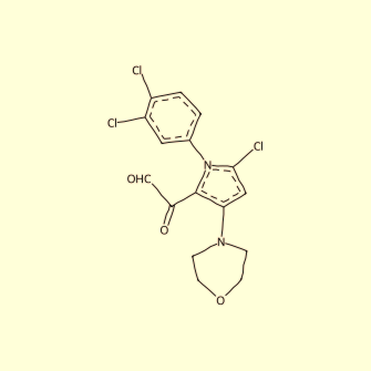 O=CC(=O)c1c(N2CCOCC2)cc(Cl)n1-c1ccc(Cl)c(Cl)c1